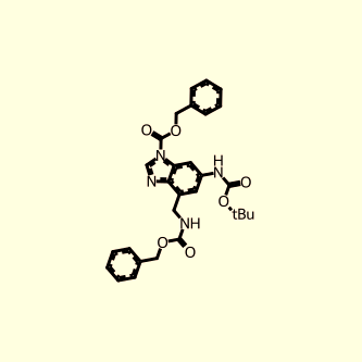 CC(C)(C)OC(=O)Nc1cc(CNC(=O)OCc2ccccc2)c2ncn(C(=O)OCc3ccccc3)c2c1